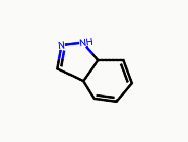 C1=CC2C=NNC2C=C1